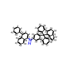 c1ccc(-c2ccc(Nc3ccc4c(c3)-c3ccccc3C43c4ccccc4-c4ccc5ccccc5c43)c3ccccc23)cc1